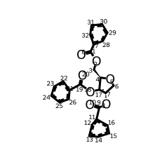 O=C(OC[C@H]1OC[C@H](OC(=O)c2ccccc2)[C]1OC(=O)c1ccccc1)c1ccccc1